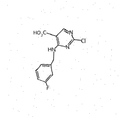 O=C(O)c1cnc(Cl)nc1NCc1cccc(F)c1